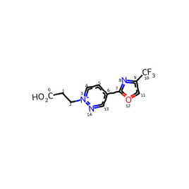 O=C(O)CC[n+]1ccc(-c2nc(C(F)(F)F)co2)cn1